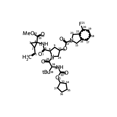 C=CC1CC1(NC(=O)C1CC(OC(=O)N2Cc3cccc(F)c3C2)CN1C(=O)C(NC(=O)OC1CCCC1)C(C)(C)C)C(=O)OC